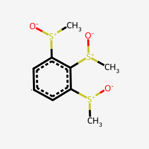 C[S+]([O-])c1c[c]cc([S+](C)[O-])c1[S+](C)[O-]